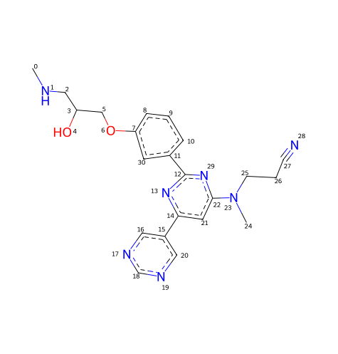 CNCC(O)COc1cccc(-c2nc(-c3cncnc3)cc(N(C)CCC#N)n2)c1